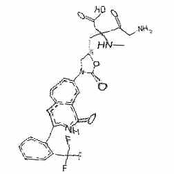 CNC(C[C@H]1CN(c2ccc3cc(-c4ccccc4C(F)(F)F)[nH]c(=O)c3c2)C(=O)O1)(C(=O)O)C(=O)CN